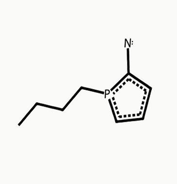 CCCCp1cccc1[N]